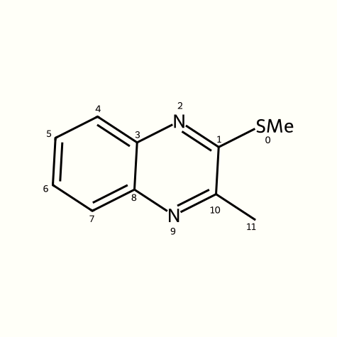 CSc1nc2ccccc2nc1C